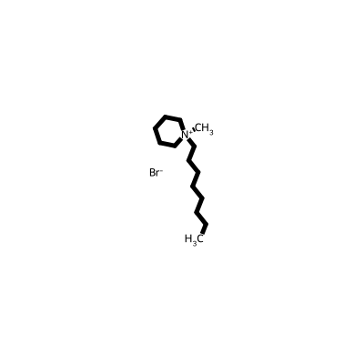 CCCCCCCC[N+]1(C)CCCCC1.[Br-]